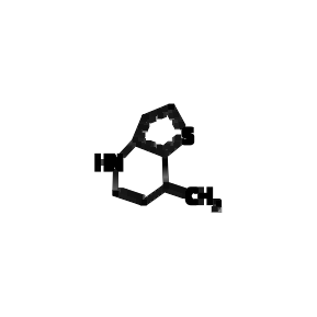 C=C1C=CNc2ccsc21